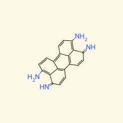 N=c1ccc2c3ccc(=N)c4c(N)ccc(c5ccc(N)c1c52)c43